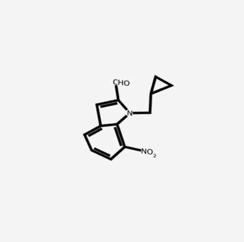 O=Cc1cc2cccc([N+](=O)[O-])c2n1CC1CC1